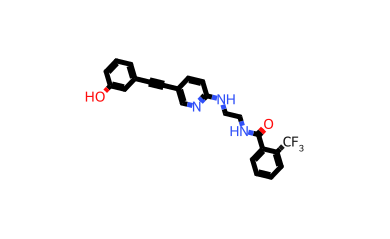 O=C(NCCNc1ccc(C#Cc2cccc(O)c2)cn1)c1ccccc1C(F)(F)F